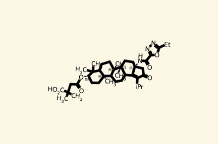 CCc1nnc(C(=O)N[C@@]23CC[C@]4(C)C(CCC5[C@@]6(C)CC[C@H](OC(=O)CC(C)(C)C(=O)O)C(C)(C)C6CC[C@]54C)C2=C(C(C)C)C(=O)C3)o1